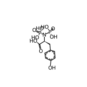 O=C(O)[C@H](Cc1ccc(O)cc1)N(P(=O)(O)O)P(=O)(O)O